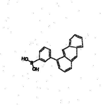 OB(O)c1cccc(-c2cccc3cc4ccccc4cc23)c1